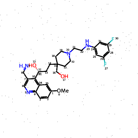 COc1ccc2ncc(CN)c([C@H](O)CCC3(CO)CCN(CCNc4cc(F)cc(F)c4)CC3)c2c1